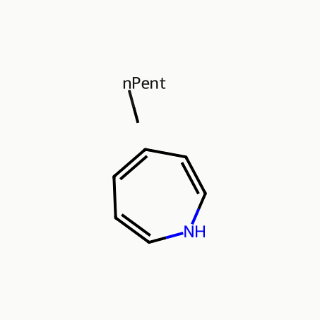 C1=CC=CNC=C1.CCCCCC